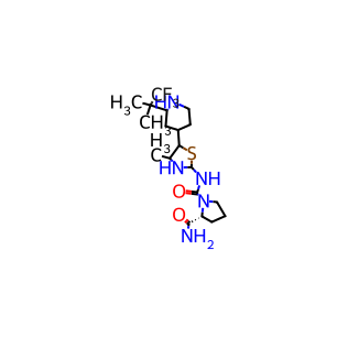 CC1NC(NC(=O)N2CCC[C@@H]2C(N)=O)SC1C1CCNC(C(C)(C)C(F)(F)F)C1